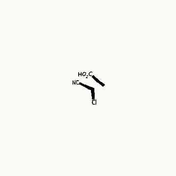 CC(=O)O.N#CCCl